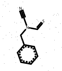 N#CN(C=S)Cc1ccccc1